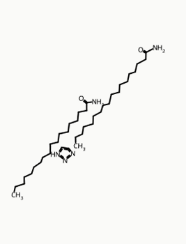 CCCCCCCCCCCCCCCCCC(N)=O.CCCCCCCCCCCCCCCCCC(N)=O.c1c[nH]nn1